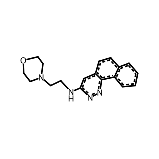 c1ccc2c(c1)ccc1cc(NCCN3CCOCC3)nnc12